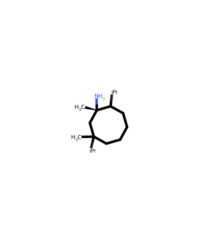 CC(C)C1CCCCC(C)(C(C)C)C[C@]1(C)N